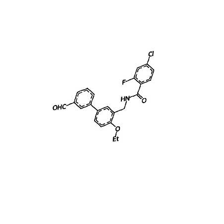 CCOc1ccc(-c2cccc(C=O)c2)cc1CNC(=O)c1ccc(Cl)cc1F